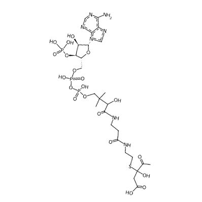 CC(=O)C(O)(CC(=O)O)SCCNC(=O)CCNC(=O)C(O)C(C)(C)COP(=O)(O)OP(=O)(O)OC[C@H]1O[C@@H](n2cnc3c(N)ncnc32)[C@H](O)[C@@H]1OP(=O)(O)O